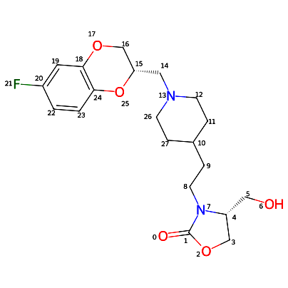 O=C1OC[C@@H](CO)N1CCC1CCN(C[C@H]2COc3cc(F)ccc3O2)CC1